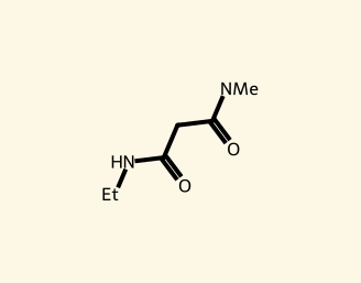 CCNC(=O)CC(=O)NC